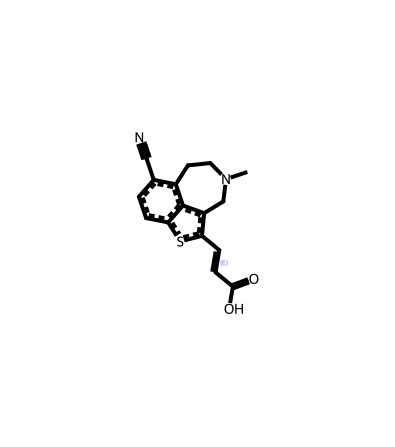 CN1CCc2c(C#N)ccc3sc(/C=C/C(=O)O)c(c23)C1